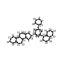 c1ccc(-c2nc(-c3ccc4c(ccc5c6ccccc6ccc45)c3)nc(-c3cccc4ccccc34)n2)cc1